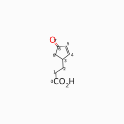 O=C(O)CCC1C=CC(=O)C1